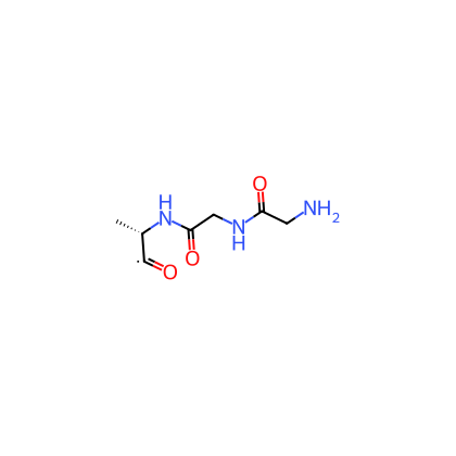 C[C@@H]([C]=O)NC(=O)CNC(=O)CN